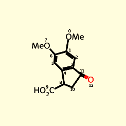 COc1cc2c(cc1OC)C(C(=O)O)CC2=O